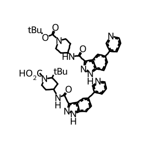 CC(C)(C)C1CC(NC(=O)c2n[nH]c3ccc(-c4cccnc4)cc23)CCN1C(=O)O.CC(C)(C)OC(=O)N1CCC(NC(=O)c2n[nH]c3ccc(-c4cccnc4)cc23)CC1